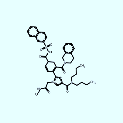 CCCCN(CCCC)C(=O)c1cn(CC(=O)NC)c(C2=C(C(=O)N3CCc4ccccc4C3)CC(C(=O)NS(=O)(=O)c3ccc4ccccc4c3)C=C2)n1